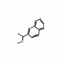 COC(C)c1ccc2ccccc2c1